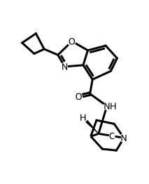 O=C(N[C@@H]1CN2CCC1CC2)c1cccc2oc(C3CCC3)nc12